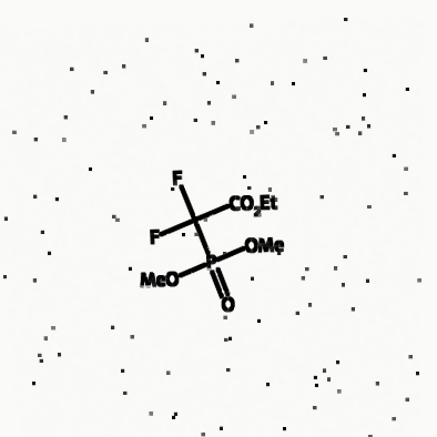 CCOC(=O)C(F)(F)P(=O)(OC)OC